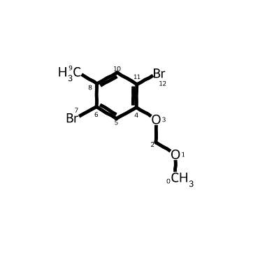 COCOc1cc(Br)c(C)cc1Br